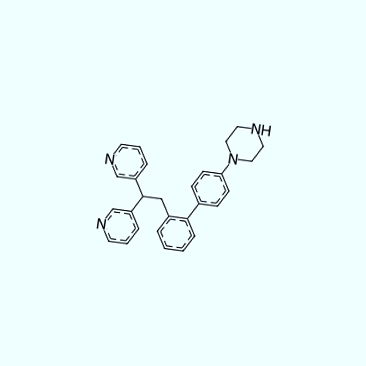 c1cncc(C(Cc2ccccc2-c2ccc(N3CCNCC3)cc2)c2cccnc2)c1